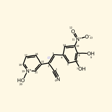 N#C/C(=C\c1cc(O)c(O)c([N+](=O)[O-])c1)c1ccc[n+](O)c1